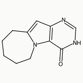 O=c1[nH]cnc2cc3n(c12)CCCCC3